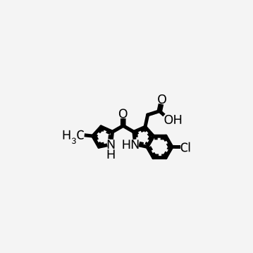 Cc1c[nH]c(C(=O)c2[nH]c3ccc(Cl)cc3c2CC(=O)O)c1